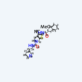 COc1ccccc1CCC(=O)Nc1sc2c(c1C#N)CCN(C(=O)NCCc1cccnc1)C2